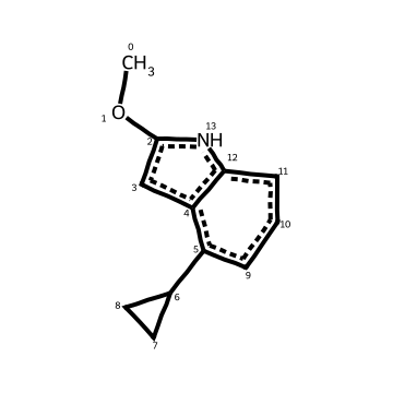 COc1cc2c(C3CC3)cccc2[nH]1